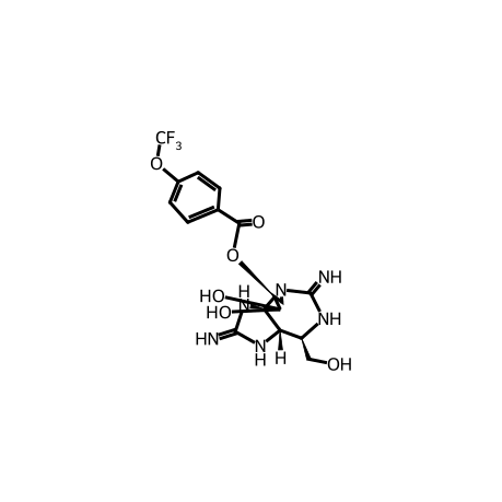 N=C1N[C@H]2[C@H](CO)NC(=N)N3C[C@H](OC(=O)c4ccc(OC(F)(F)F)cc4)C(O)(O)[C@]23N1